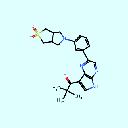 CC(C)(C)C(=O)c1c[nH]c2ncc(-c3cccc(N4CC5CS(=O)(=O)CC5C4)c3)nc12